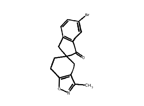 Cc1noc2c1CC1(CC2)Cc2ccc(Br)cc2C1=O